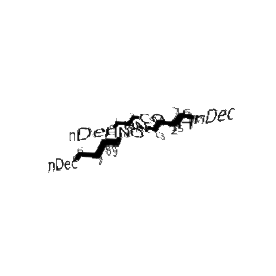 CCCCCCCCCCCCCC(=O)O.CCCCCCCCCCCCCCNONCCCCCCCCCCCCCC